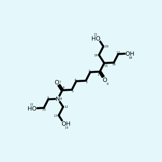 O=C(CCCCC(=O)N(CCO)CCO)C(CCO)CCO